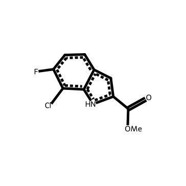 COC(=O)c1cc2ccc(F)c(Cl)c2[nH]1